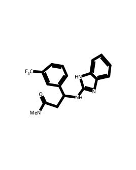 CNC(=O)CC(Nc1nc2ccccc2[nH]1)c1cccc(C(F)(F)F)c1